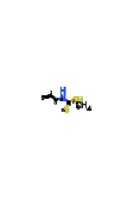 C.C=CCNC(=S)S